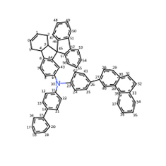 C1=CCC2C(C1)c1ccc(N(c3ccc(-c4ccccc4)cc3)c3ccc(-c4ccc5ccc6ccccc6c5c4)cc3)cc1C21c2ccccc2-c2ccccc21